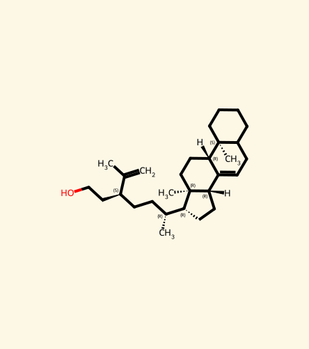 C=C(C)[C@H](CCO)CC[C@@H](C)[C@H]1CC[C@H]2C3=CCC4CCCC[C@]4(C)[C@H]3CC[C@]12C